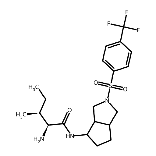 CC[C@H](C)[C@H](N)C(=O)NC1CCC2CN(S(=O)(=O)c3ccc(C(F)(F)F)cc3)CC21